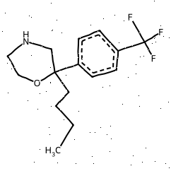 CCCCC1(c2ccc(C(F)(F)F)cc2)CNCCO1